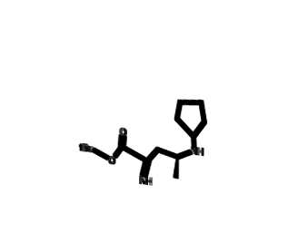 C[C@@H](CC(=N)C(=O)OC(C)(C)C)NC1CCCC1